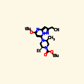 CC[C@@H]1CN(c2cc(OC(C)(C)C)nc3cc(CC#N)nn23)[C@@H](C)CN1C(=O)OC(C)(C)C